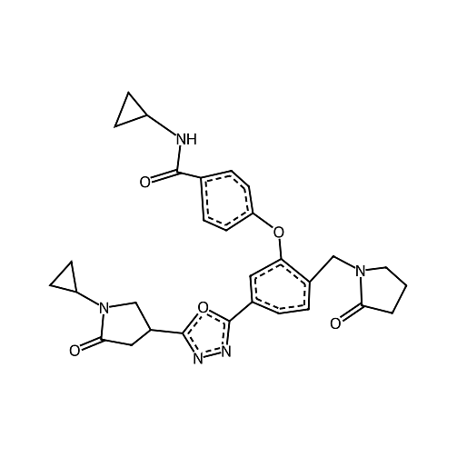 O=C(NC1CC1)c1ccc(Oc2cc(-c3nnc(C4CC(=O)N(C5CC5)C4)o3)ccc2CN2CCCC2=O)cc1